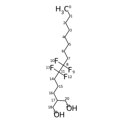 CCCCCCCCC(F)(F)C(F)(F)CCCC(CO)CO